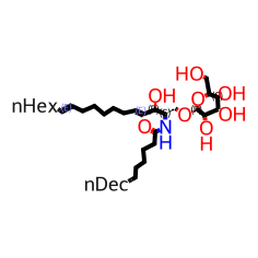 CCCCCC/C=C/CCCCC/C=C/[C@@H](O)[C@H](CO[C@@H]1OC(CO)[C@@H](O)C(O)C1O)NC(=O)CCCCCCCCCCCCCCC